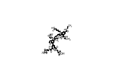 CCCNC(=O)c1cc(C(=O)NCC)c2c(c1)N(CCCCCC(=O)O)/C(=C/C=C/C1=[N+](CCCS(=O)(=O)O)c3c(cc(-c4cc(C(=O)NCCS(=O)(=O)O)nc(C(=O)NCCS(=O)(=O)O)c4)c4sccc34)[C@]1(C)CCC)C2(C)C